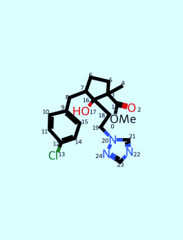 COC(=O)C1(C)CCC(Cc2ccc(Cl)cc2)C1(O)CCn1cncn1